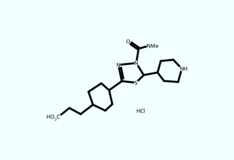 CNC(=O)N1N=C(C2CCC(CCC(=O)O)CC2)SC1C1CCNCC1.Cl